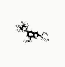 CN(C(=O)O)c1cc2cc(B3OC(C)(C)C(C)(C)O3)cc(OC(F)(F)F)c2o1